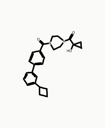 O=C(c1ccc(-c2cccc(C3CCC3)c2)cc1)N1CCN(C(=O)C2(O)CC2)CC1